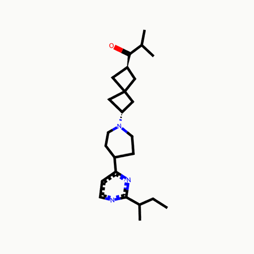 CCC(C)c1nccc(C2CCN([C@H]3CC4(C[C@H](C(=O)C(C)C)C4)C3)CC2)n1